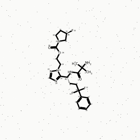 CC(C)(N)C(=O)N[C@H](CCC(F)(F)c1ccccc1)c1ncnn1CCOC(=O)N1CC[C@@H](F)C1